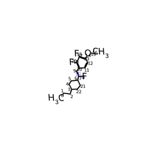 CCCC1CCC(/C(F)=C/c2ccc(OCC)c(F)c2F)CC1